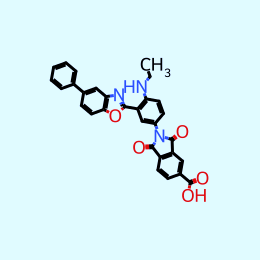 CCNc1ccc(N2C(=O)c3ccc(C(=O)O)cc3C2=O)cc1-c1nc2cc(-c3ccccc3)ccc2o1